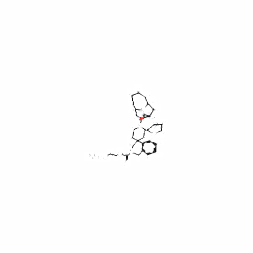 COCCOC(=O)N1Cc2ccccc2C2(CCN(C3CCC4CCCCC(C3)N4C(=O)O[C@@H]3CCOC3)CC2)C1